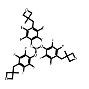 CC1(Cc2c(F)c(F)c(OB(Oc3c(F)c(F)c(CC4(C)COC4)c(F)c3F)Oc3c(F)c(F)c(CC4(C)COC4)c(F)c3F)c(F)c2F)COC1